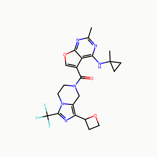 Cc1nc(NC2(C)CC2)c2c(C(=O)N3CCn4c(C(F)(F)F)nc(C5CCO5)c4C3)coc2n1